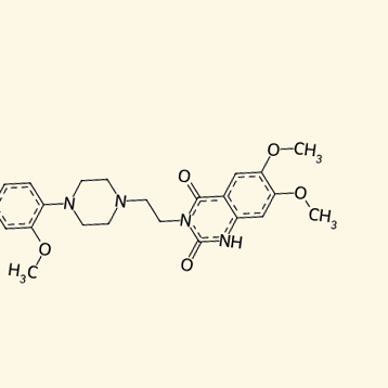 COc1cc2[nH]c(=O)n(CCN3CCN(c4ccccc4OC)CC3)c(=O)c2cc1OC